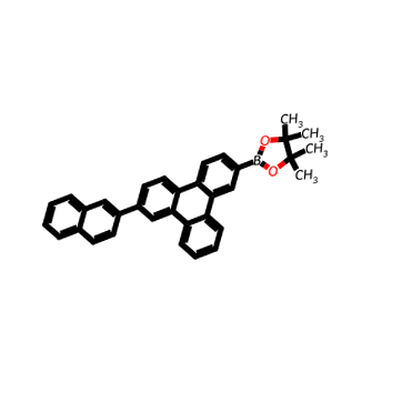 CC1(C)OB(c2ccc3c4ccc(-c5ccc6ccccc6c5)cc4c4ccccc4c3c2)OC1(C)C